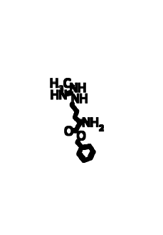 CNC(=N)NCCC[C@@H](N)C(=O)OCc1ccccc1